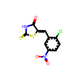 O=C1NC(=S)S/C1=C\c1cc([N+](=O)[O-])ccc1Cl